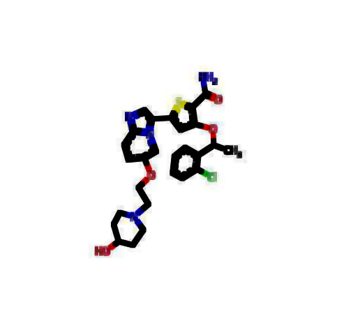 CC(Oc1cc(-c2cnc3ccc(OCCN4CCC(O)CC4)cn23)sc1C(N)=O)c1ccccc1Cl